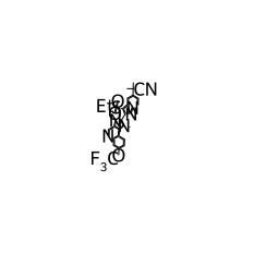 CCS(=O)(=O)c1c(-c2nc3cnc4cc(OC(F)(F)F)ccc4c3n2C)nn2ccc(C(C)(C)C#N)cc12